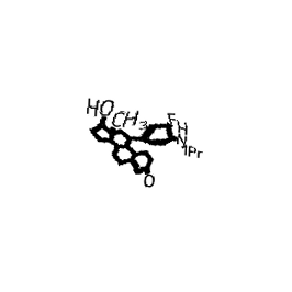 CC(C)Nc1ccc(C2CC3(C)C(O)CCC3C3CCC4=CC(=O)CCC4C23)cc1F